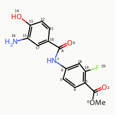 COC(=O)c1ccc(NC(=O)c2ccc(O)c(N)c2)cc1F